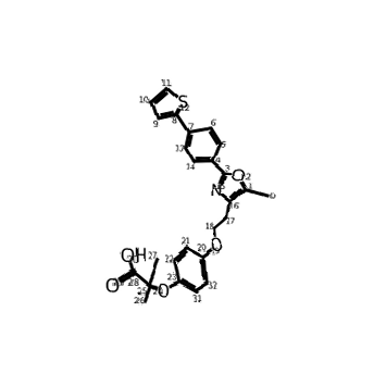 Cc1oc(-c2ccc(-c3cccs3)cc2)nc1CCOc1ccc(OC(C)(C)C(=O)O)cc1